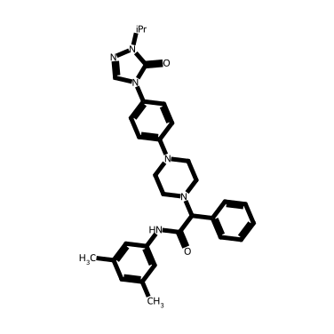 Cc1cc(C)cc(NC(=O)C(c2ccccc2)N2CCN(c3ccc(-n4cnn(C(C)C)c4=O)cc3)CC2)c1